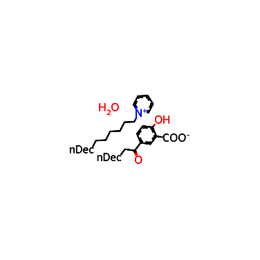 CCCCCCCCCCCC(=O)c1ccc(O)c(C(=O)[O-])c1.CCCCCCCCCCCCCCCC[n+]1ccccc1.O